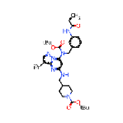 C=CC(=O)Nc1cccc(CN(C(=O)OC(C)(C)C)c2cc(NCC3CCN(C(=O)OC(C)(C)C)CC3)nc3c(C(C)C)cnn23)c1